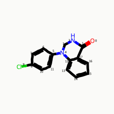 O=C1NCN(c2ccc(Cl)cc2)c2ccccc21